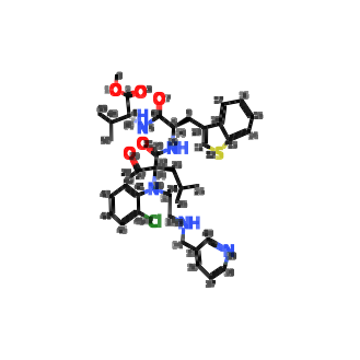 COC(=O)[C@H](NC(=O)[C@@H](Cc1csc2ccccc12)NC(=O)[C@@](CC(C)C)(C(C)=O)N(CCNCc1cccnc1)c1ccccc1Cl)C(C)C